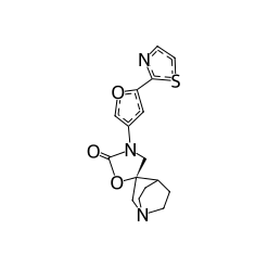 O=C1O[C@]2(CN3CCC2CC3)CN1c1coc(-c2nccs2)c1